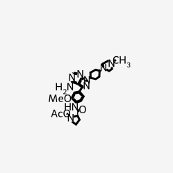 COc1cc(-c2nn(C3CCC(N4CCN(C)CC4)CC3)c3ncnc(N)c23)ccc1NC(=O)[C@H]1CCCN1OC(C)=O